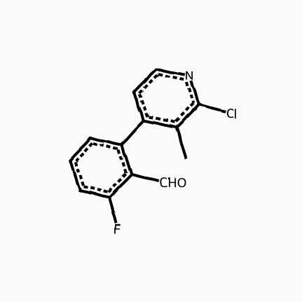 Cc1c(-c2cccc(F)c2C=O)ccnc1Cl